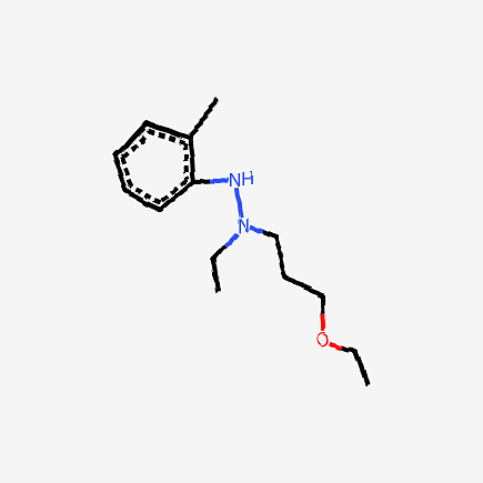 CCOCCCN(CC)Nc1ccccc1C